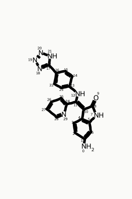 Nc1ccc2c(c1)NC(=O)/C2=C(\Nc1ccc(-c2nnn[nH]2)cc1)c1ccccn1